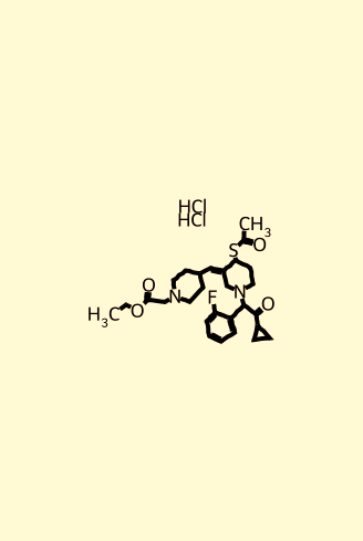 CCOC(=O)CN1CCC(C=C2CN(C(C(=O)C3CC3)c3ccccc3F)CCC2SC(C)=O)CC1.Cl.Cl